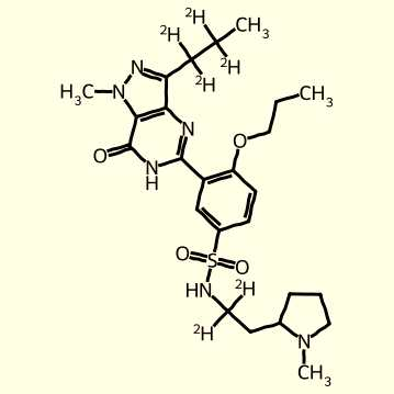 [2H]C([2H])(CC1CCCN1C)NS(=O)(=O)c1ccc(OCCC)c(-c2nc3c(C([2H])([2H])C([2H])([2H])C)nn(C)c3c(=O)[nH]2)c1